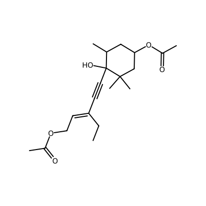 CC/C(C#CC1(O)C(C)CC(OC(C)=O)CC1(C)C)=C\COC(C)=O